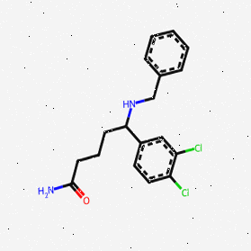 NC(=O)CCCC(NCc1ccccc1)c1ccc(Cl)c(Cl)c1